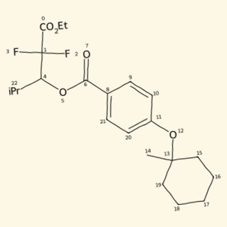 CCOC(=O)C(F)(F)C(OC(=O)c1ccc(OC2(C)CCCCC2)cc1)C(C)C